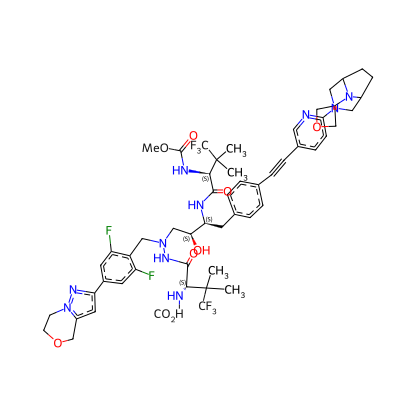 COC(=O)N[C@H](C(=O)N[C@@H](Cc1ccc(C#Cc2ccc(N3CC4CCC(C3)N4C3COC3)nc2)cc1)[C@@H](O)CN(Cc1c(F)cc(-c2cc3n(n2)CCOC3)cc1F)NC(=O)[C@@H](NC(=O)O)C(C)(C)C(F)(F)F)C(C)(C)C(F)(F)F